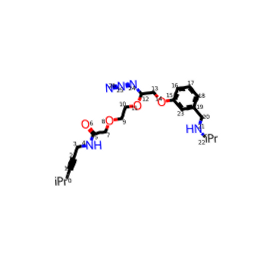 CC(C)C#CCNC(=O)COCCOC(COc1cccc(CNC(C)C)c1)N=[N+]=[N-]